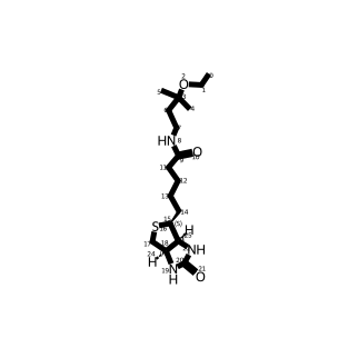 CCOC(C)(C)CCNC(=O)CCCC[C@@H]1SC[C@@H]2NC(=O)N[C@@H]21